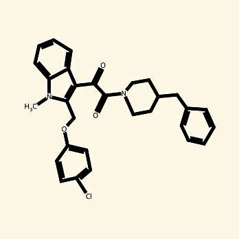 Cn1c(COc2ccc(Cl)cc2)c(C(=O)C(=O)N2CCC(Cc3ccccc3)CC2)c2ccccc21